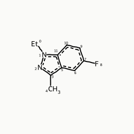 CCn1nc(C)c2cc(F)ccc21